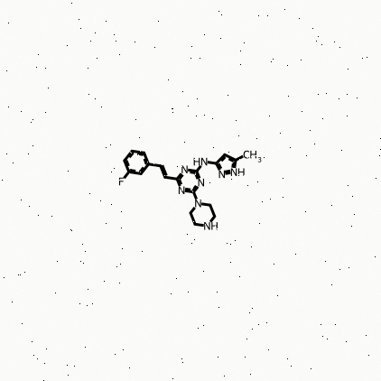 Cc1cc(Nc2nc(/C=C/c3cccc(F)c3)nc(N3CCNCC3)n2)n[nH]1